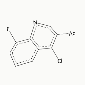 CC(=O)c1cnc2c(F)cccc2c1Cl